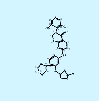 CN1CCC(Cc2cc(Nc3ncc4c(n3)SCN(c3c(Cl)cccc3Cl)C4=O)ccc2N2CCNCC2)C1